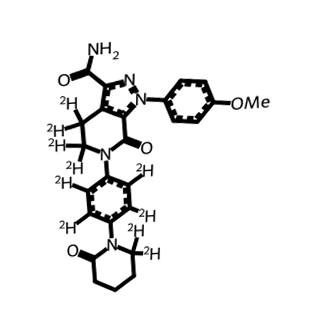 [2H]c1c([2H])c(N2C(=O)c3c(c(C(N)=O)nn3-c3ccc(OC)cc3)C([2H])([2H])C2([2H])[2H])c([2H])c([2H])c1N1C(=O)CCCC1([2H])[2H]